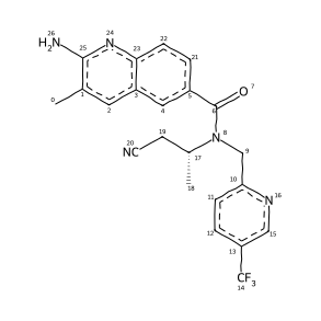 Cc1cc2cc(C(=O)N(Cc3ccc(C(F)(F)F)cn3)[C@H](C)CC#N)ccc2nc1N